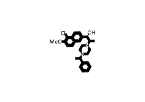 COc1ccc2cc([C@H](O)C(C)N3CCN(C(C)c4ccccc4)CC3)ccc2c1Cl